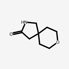 O=C1CC2(CCOCC2)CN1